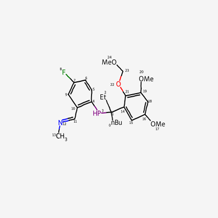 CCCCC(CC)(Pc1ccc(F)cc1/C=N/C)c1cc(OC)cc(OC)c1OCOC